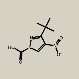 CC(C)(C)c1nn(C(=O)O)cc1[N+](=O)[O-]